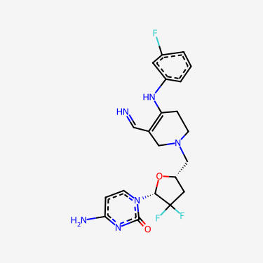 N=CC1=C(Nc2cccc(F)c2)CCN(C[C@@H]2CC(F)(F)[C@H](n3ccc(N)nc3=O)O2)C1